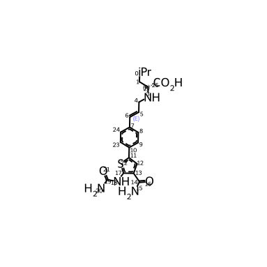 CC(C)C[C@@H](NC/C=C/c1ccc(-c2cc(C(N)=O)c(NC(N)=O)s2)cc1)C(=O)O